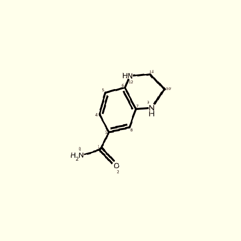 NC(=O)c1ccc2c(c1)NCCN2